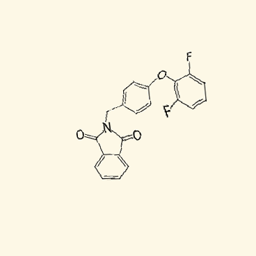 O=C1c2ccccc2C(=O)N1Cc1ccc(Oc2c(F)cccc2F)cc1